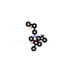 CC1(C)c2ccccc2-c2ccc(N(c3ccc(-c4cccc5c4oc4ccccc45)cc3)c3cccc4oc5c(-c6ccccc6)c6ccccc6cc5c34)cc21